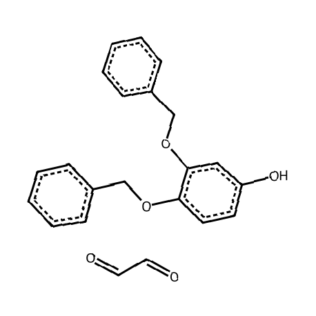 O=CC=O.Oc1ccc(OCc2ccccc2)c(OCc2ccccc2)c1